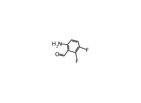 Nc1ccc(F)c(F)c1C=O